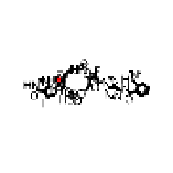 CN(C)Cc1ccccc1C(=O)Nc1ncnc2c1ncn2[C@@H]1OC2CO[P@@](=O)(S)O[C@H]3C(n4cc(F)c5c(=O)[nH]cnc54)O[C@H](CO[PH](=O)O[C@H]2[C@H]1F)[C@H]3O